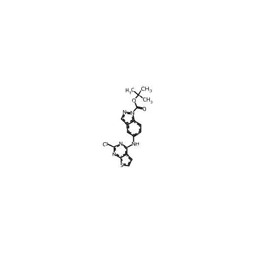 CC(C)(C)OC(=O)n1ncc2cc(Nc3nc(Cl)nc4sccc34)ccc21